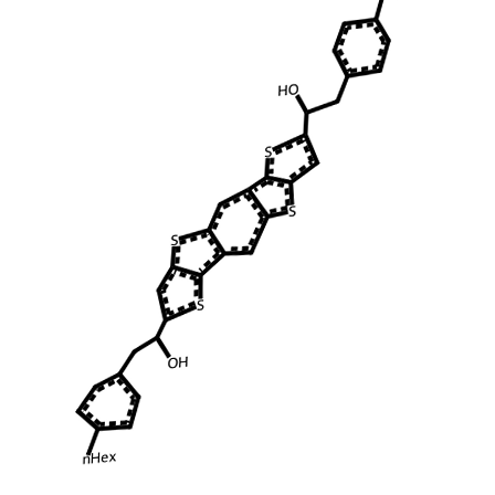 CCCCCCc1ccc(CC(O)c2cc3sc4cc5c(cc4c3s2)sc2cc(C(O)Cc3ccc(C)cc3)sc25)cc1